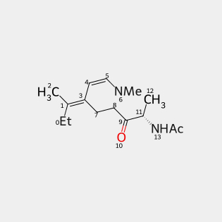 CC/C(C)=C(/C=C\NC)CCC(=O)[C@H](C)NC(C)=O